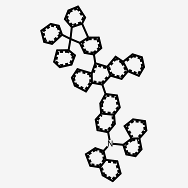 c1ccc(C2(c3ccccc3)c3ccccc3-c3ccc(-c4c5ccccc5c(-c5ccc6cc(N(c7cccc8ccccc78)c7cccc8ccccc78)ccc6c5)c5cc6ccccc6cc45)cc32)cc1